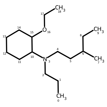 CCCN(CCC(C)CC)C1CCCCC1OCC